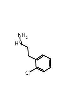 NNCCc1ccccc1Cl